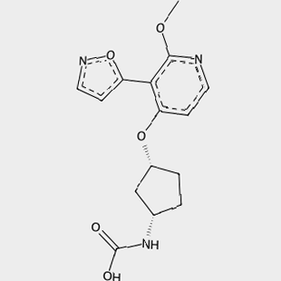 COc1nccc(O[C@@H]2CC[C@H](NC(=O)O)C2)c1-c1ccno1